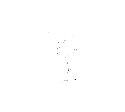 CC(C)c1nc(C2CC2)ns1